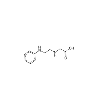 O=C(O)CNCCNc1ccccc1